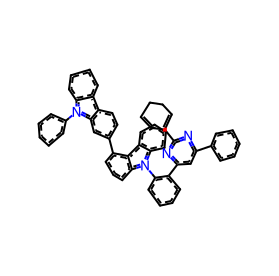 C1=CC(c2nc(-c3ccccc3)cc(-c3ccccc3-n3c4ccccc4c4c(-c5ccc6c7ccccc7n(-c7ccccc7)c6c5)cccc43)n2)=CCC1